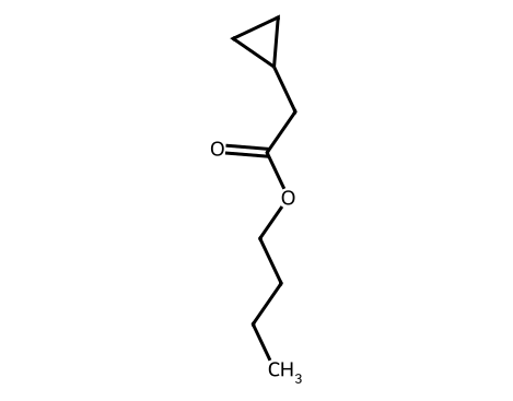 CCCCOC(=O)CC1CC1